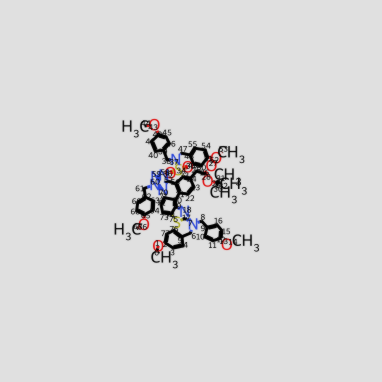 COc1ccc(CN(Cc2ccc(OC)cc2)c2nc3c(-c4ccc(CC(=O)OC(C)(C)C)c(S(=O)(=O)N(Cc5ccc(OC)cc5)Cc5ccc(OC)cc5)c4-c4nnn(Cc5ccc(OC)cc5)n4)cccc3s2)cc1